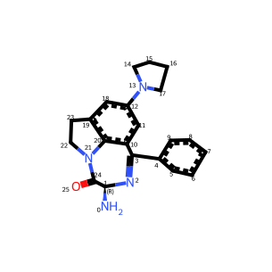 N[C@@H]1N=C(c2ccccc2)c2cc(N3CCCC3)cc3c2N(CC3)C1=O